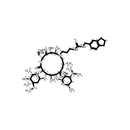 CC[C@H]1OC(=O)[C@H](C)[C@@H](O[C@H]2C[C@@](C)(OC)[C@@H](O)[C@H](C)O2)[C@H](C)[C@@H](O[C@@H]2O[C@H](C)C[C@H](N(C)C)[C@H]2O)[C@](C)(O)C[C@@H](C)CN(CCCNC(=S)NCc2ccc3c(c2)CCC3)[C@H](C)[C@@H](O)[C@]1(C)O